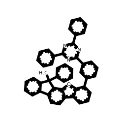 CC1(c2ccccc2)c2ccccc2-c2ccc3c(oc4c(-c5cccc(-c6nc(-c7ccccc7)nc(-c7ccccc7)n6)c5)cccc43)c21